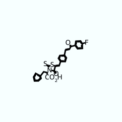 O=C(/C=C/c1ccc(/C=C2\SC(=S)N(C(Cc3ccccc3)C(=O)O)C2=O)cc1)c1ccc(F)cc1